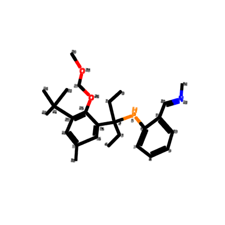 CCC(CC)(Pc1ccccc1/C=N/C)c1cc(C)cc(C(C)(C)C)c1OCOC